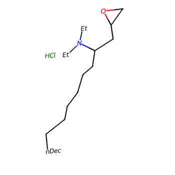 CCCCCCCCCCCCCCCCC(CC1CO1)N(CC)CC.Cl